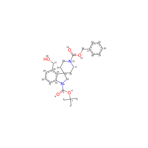 CC(C)(C)OC(=O)N1CC2(CCN(C(=O)OCc3ccccc3)CC2)c2c(CO)cccc21